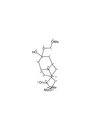 COCOC1(O)CC2CC(COC)CC(C1)N2CC(=O)OC